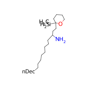 CCCCCCCCCCCCCCCCCCC(N)CCC1([SiH2]C)CCCCO1